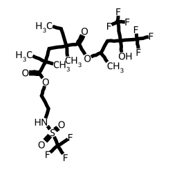 CCC(C)(CC(C)(C)C(=O)OCCNS(=O)(=O)C(F)(F)F)C(=O)OC(C)CC(O)(C(F)(F)F)C(F)(F)F